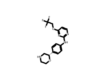 FC(F)(F)COc1ccnc(Nc2ccc([C@H]3CNCCO3)cc2)n1